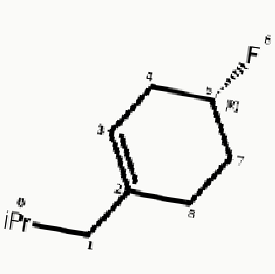 CC(C)CC1=CC[C@H](F)CC1